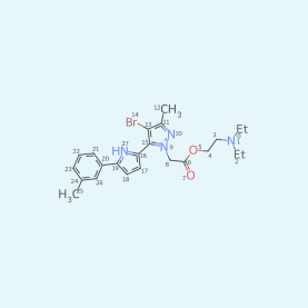 CCN(CC)CCOC(=O)Cn1nc(C)c(Br)c1-c1ccc(-c2cccc(C)c2)[nH]1